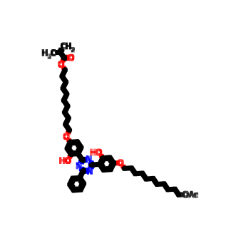 C=C(C)C(=O)OCCCCCCCCCCCOc1ccc(-c2nc(-c3ccccc3)nc(-c3ccc(OCCCCCCCCCCCOC(C)=O)cc3O)n2)c(O)c1